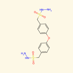 NNS(=O)(=O)Cc1ccc(Oc2ccc(CS(=O)(=O)NN)cc2)cc1